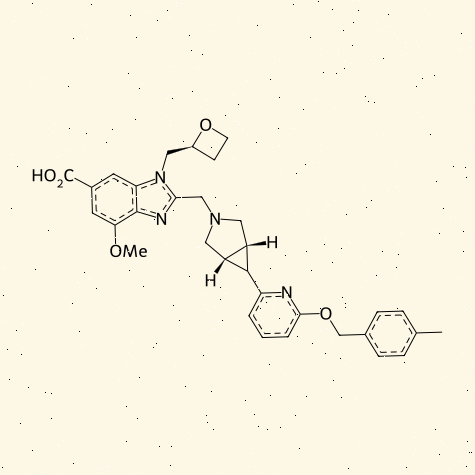 COc1cc(C(=O)O)cc2c1nc(CN1C[C@@H]3C(c4cccc(OCc5ccc(C)cc5)n4)[C@@H]3C1)n2C[C@@H]1CCO1